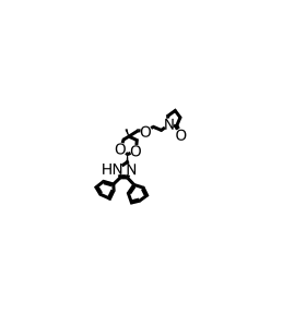 C[C@]1(COCCN2CCCC2=O)CO[C@H](c2nc(-c3ccccc3)c(-c3ccccc3)[nH]2)OC1